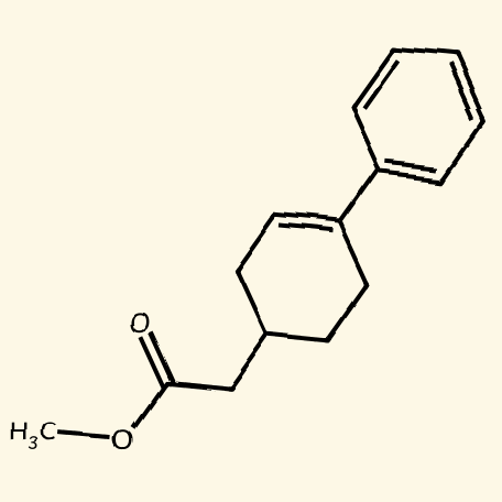 COC(=O)CC1CC=C(c2ccccc2)CC1